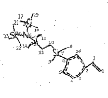 C=Cc1cccc([Si](C)(C)CC[Si](C)(C)N([Si](C)(C)C)[Si](C)(C)C)c1